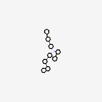 c1cc(-c2ccc(N(c3ccc(-c4ccc5c(c4)sc4ccccc45)cc3)c3cccc4sc5ccccc5c34)cc2)cc(-c2cccc3ccccc23)c1